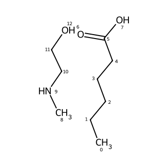 CCCCCC(=O)O.CNCCO